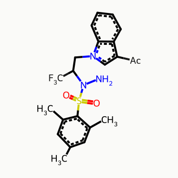 CC(=O)c1cn(CC(N(N)S(=O)(=O)c2c(C)cc(C)cc2C)C(F)(F)F)c2ccccc12